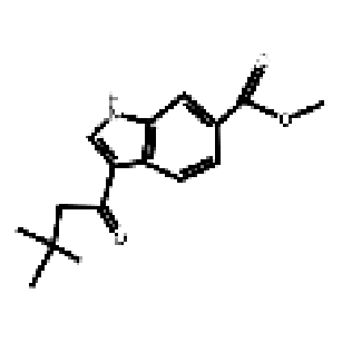 COC(=O)c1ccc2c(C(=O)CC(C)(C)C)c[nH]c2c1